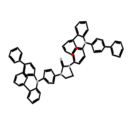 O=C1N(c2ccc(N(c3ccc(-c4ccccc4)cc3)c3ccccc3-c3ccccc3)cc2)CCN1c1ccc(N(c2ccc(-c3ccccc3)cc2)c2ccccc2-c2ccccc2)cc1